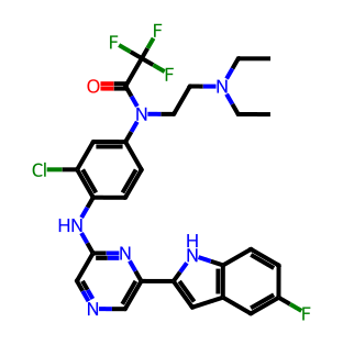 CCN(CC)CCN(C(=O)C(F)(F)F)c1ccc(Nc2cncc(-c3cc4cc(F)ccc4[nH]3)n2)c(Cl)c1